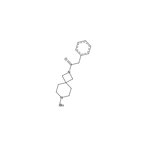 CCC(C)N1CCC2(CC1)CN(C(=O)Cc1ccccc1)C2